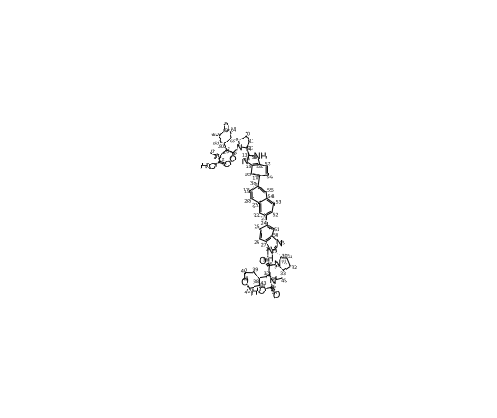 CN(C(=O)O)[C@H](C(=O)N1CCC[C@H]1c1nc2cc(-c3ccc4cc(-c5ccc6[nH]c([C@@H]7CCCN7C(=O)[C@H](C7CCOCC7)N(C)C(=O)O)nc6c5)ccc4c3)ccc2[nH]1)C1CCOCC1